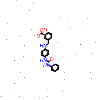 O=C(Nc1ccccc1)Nc1ccc(NCc2cccc(C(=O)O)c2)cc1